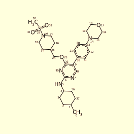 CC1CCC(Nc2ncc(-c3ccc(N4CCOCC4)cc3)c(OCC3CCN(S(C)(=O)=O)CC3)n2)CC1